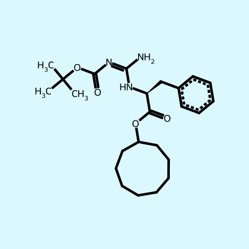 CC(C)(C)OC(=O)/N=C(/N)N[C@@H](Cc1ccccc1)C(=O)OC1CCCCCCCC1